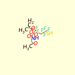 C=C(C)C(=O)OC(OCCC(F)(F)C(F)(F)S)(C(=O)NCC(C)=O)C(F)(F)F